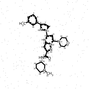 Cc1cccc(-c2ccn(-c3cc(N4CCOCC4)n4nc(C(=O)N[C@H]5CCCN(C)C5)cc4n3)n2)c1